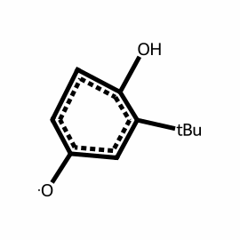 CC(C)(C)c1cc([O])ccc1O